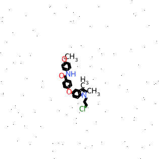 COc1ccc(NC(=O)c2ccc(Oc3ccc4c(c3)c(C)c(C)n4CCCCl)cc2)cc1